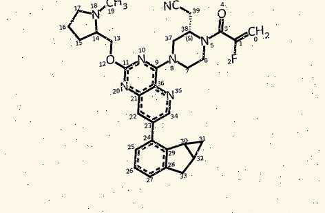 C=C(F)C(=O)N1CCN(c2nc(OCC3CCCN3C)nc3cc(-c4cccc5c4C4CC4C5)cnc23)C[C@@H]1CC#N